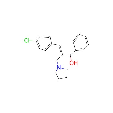 OC(/C(=C/c1ccc(Cl)cc1)CN1CCCC1)c1ccccc1